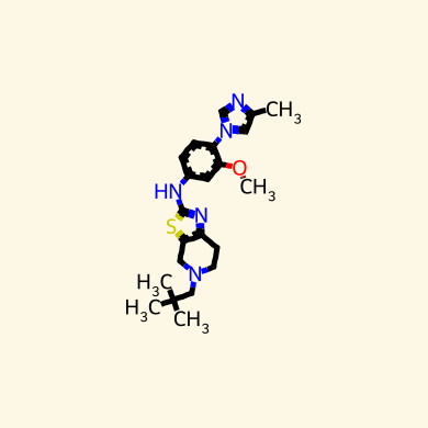 COc1cc(Nc2nc3c(s2)CN(CC(C)(C)C)CC3)ccc1-n1cnc(C)c1